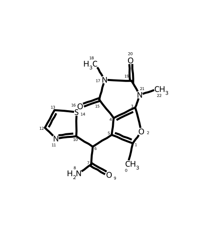 Cc1oc2c(c1C(C(N)=O)c1nccs1)c(=O)n(C)c(=O)n2C